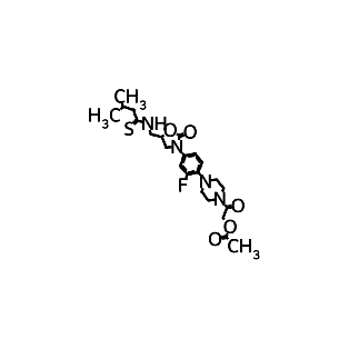 CC(=O)OCC(=O)N1CCN(c2ccc(N3CC(CNC(=S)CC(C)C)OC3=O)cc2F)CC1